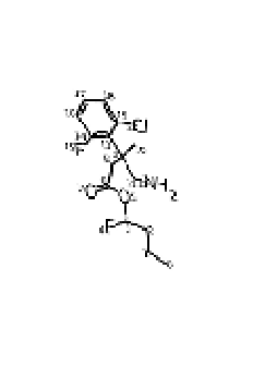 CCCC(F)OC(=O)CC(C)(CN)c1c(F)cccc1Cl